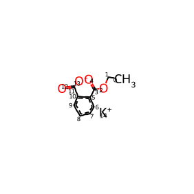 CCOC(=O)c1ccccc1C(=O)[O-].[K+]